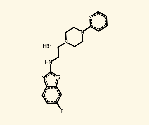 Br.Fc1ccc2nc(NCCN3CCN(c4ccccn4)CC3)sc2c1